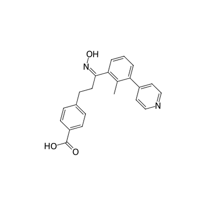 Cc1c(/C(CCc2ccc(C(=O)O)cc2)=N\O)cccc1-c1ccncc1